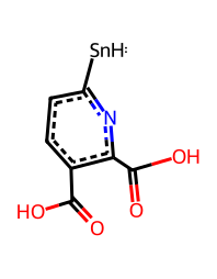 O=C(O)c1cc[c]([SnH])nc1C(=O)O